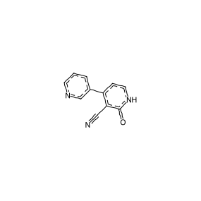 N#Cc1c(-c2cccnc2)cc[nH]c1=O